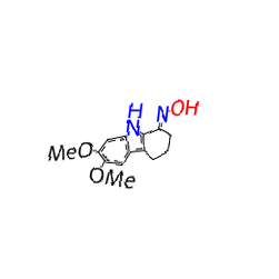 COc1cc2[nH]c3c(c2cc1OC)CCC/C3=N\O